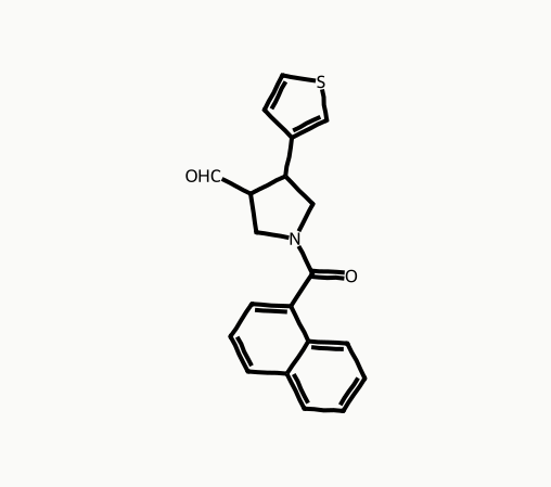 O=CC1CN(C(=O)c2cccc3ccccc23)CC1c1ccsc1